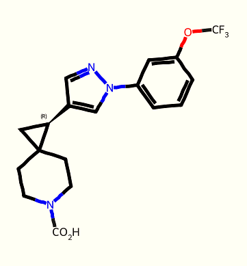 O=C(O)N1CCC2(CC1)C[C@H]2c1cnn(-c2cccc(OC(F)(F)F)c2)c1